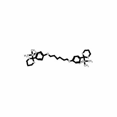 [CH3][Ge]([CH3])([CH3])[C]1(c2ccc(OCCCCCCOc3ccc([C]4([Ge]([CH3])([CH3])[CH3])SCCCS4)cc3)cc2)SCCCS1